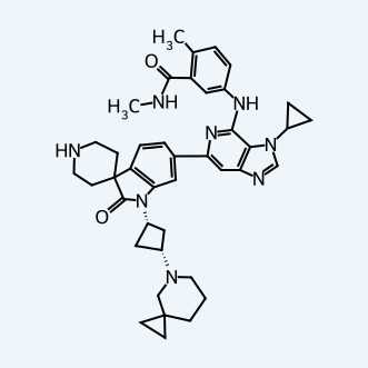 CNC(=O)c1cc(Nc2nc(-c3ccc4c(c3)N([C@H]3C[C@@H](N5CCCC6(CC6)C5)C3)C(=O)C43CCNCC3)cc3ncn(C4CC4)c23)ccc1C